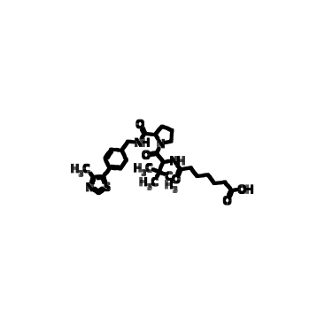 Cc1ncsc1C1=CCC(CNC(=O)C2CCCN2C(=O)C(NC(=O)CCCCCC(=O)O)C(C)(C)C)C=C1